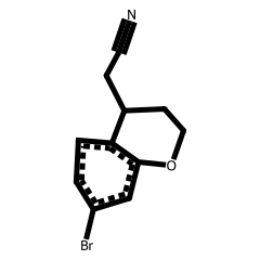 N#CCC1CCOc2cc(Br)ccc21